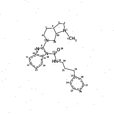 CN1CCC2CCN(c3nc4ccccc4n3C(=O)NCCCc3ccccc3)CC21